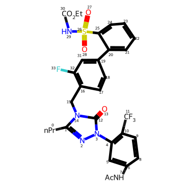 CCCc1nn(-c2cc(NC(C)=O)ccc2C(F)(F)F)c(=O)n1Cc1ccc(-c2ccccc2S(=O)(=O)NC(=O)OCC)cc1F